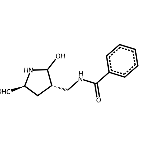 O=C[C@@H]1C[C@@H](CNC(=O)c2ccccc2)C(O)N1